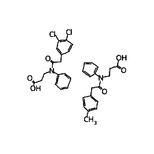 Cc1ccc(CC(=O)N(CCC(=O)O)c2ccccc2)cc1.O=C(O)CCN(C(=O)Cc1ccc(Cl)c(Cl)c1)c1ccccc1